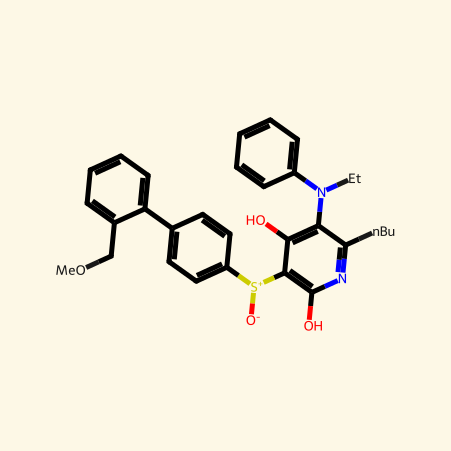 CCCCc1nc(O)c([S+]([O-])c2ccc(-c3ccccc3COC)cc2)c(O)c1N(CC)c1ccccc1